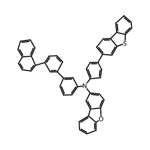 c1cc(-c2cccc(N(c3ccc(-c4ccc5c(c4)sc4ccccc45)cc3)c3ccc4oc5ccccc5c4c3)c2)cc(-c2cccc3ccccc23)c1